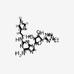 CCn1nnc([C@H]2O[C@@H](n3cnc4c(N)nc(NCCc5cn(C)cn5)nc43)[C@H](O)[C@@H]2O)n1